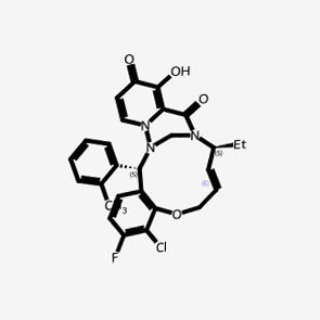 CC[C@H]1/C=C/COc2c(ccc(F)c2Cl)[C@H](c2ccccc2C)N2CN1C(=O)c1c(O)c(=O)ccn12